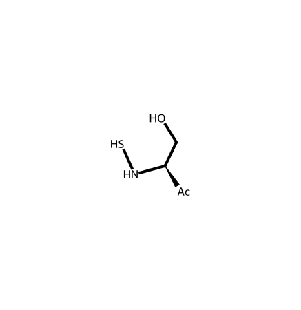 CC(=O)[C@H](CO)NS